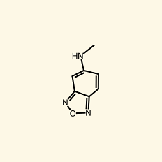 CNc1ccc2nonc2c1